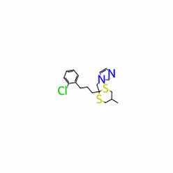 CC1CSC(CCCc2ccccc2Cl)(Cn2ccnc2)SC1